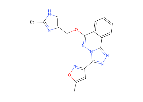 CCc1nc(COc2nn3c(-c4cc(C)on4)nnc3c3ccccc23)c[nH]1